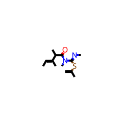 C=C(C)S/C(=N\C)N(C)C(=O)C(C)/C(C)=C/C